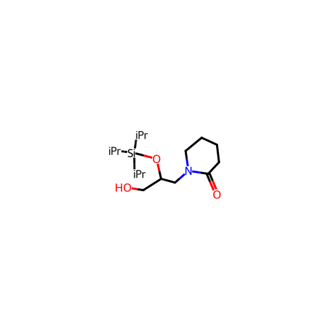 CC(C)[Si](OC(CO)CN1CCCCC1=O)(C(C)C)C(C)C